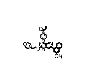 C=CC(=O)N1CCN(c2nc(OCCN3CCOCC3)nc3cc(-c4cc(O)cc5ccccc45)ncc23)CC1